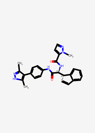 Cc1n[nH]c(C)c1-c1ccc(NC(=O)[C@@H](NC(=O)c2ccnn2C)[C@H]2C=Cc3ccccc32)cc1